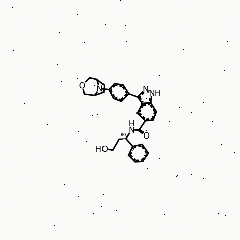 O=C(N[C@H](CCO)c1ccccc1)c1ccc2[nH]nc(-c3ccc(N4C5CCC4COC5)cc3)c2c1